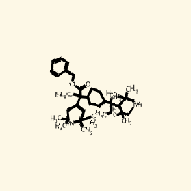 CCC(C)(C1CCC(C(C)(C(=O)OCc2ccccc2)C2CC(C)(C)NC(C)(C)C2)CC1)C1C(C)(C)CNCC1(C)C